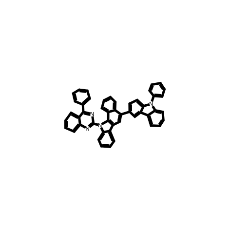 c1ccc(-c2nc(-n3c4ccccc4c4cc(-c5ccc6c(c5)c5ccccc5n6-c5ccccc5)c5ccccc5c43)nc3ccccc23)cc1